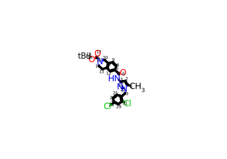 Cc1cc(NC(=O)c2ccc3c(c2)CCN(C(=O)OC(C)(C)C)C3)nn1Cc1ccc(Cl)cc1Cl